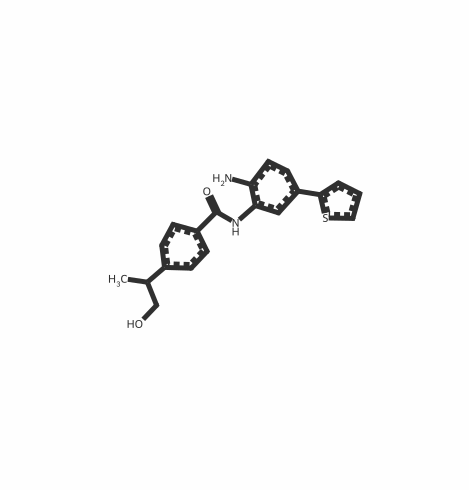 CC(CO)c1ccc(C(=O)Nc2cc(-c3cccs3)ccc2N)cc1